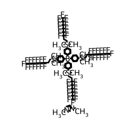 CCn1cc[n+](C)c1.C[Si](C)(CCC(F)(F)C(F)(F)C(F)(F)C(F)(F)C(F)(F)C(F)(F)F)c1ccc([B-](c2ccc([Si](C)(C)CCC(F)(F)C(F)(F)C(F)(F)C(F)(F)C(F)(F)C(F)(F)F)cc2)(c2ccc([Si](C)(C)CCC(F)(F)C(F)(F)C(F)(F)C(F)(F)C(F)(F)C(F)(F)F)cc2)c2ccc([Si](C)(C)CCC(F)(F)C(F)(F)C(F)(F)C(F)(F)C(F)(F)C(F)(F)F)cc2)cc1